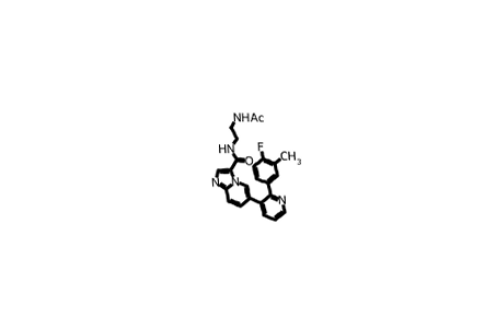 CC(=O)NCCNC(=O)c1cnc2ccc(-c3cccnc3-c3ccc(F)c(C)c3)cn12